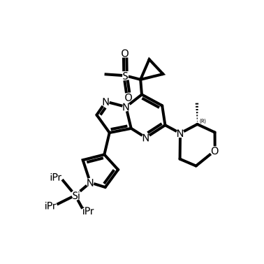 CC(C)[Si](C(C)C)(C(C)C)n1ccc(-c2cnn3c(C4(S(C)(=O)=O)CC4)cc(N4CCOC[C@H]4C)nc23)c1